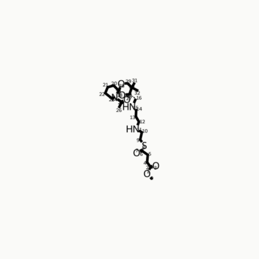 COC(=O)CCC(=O)SCCNCCCNC[C@@H]1OC2(CCCCN2C(C)=O)OCC1(C)C